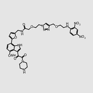 COc1ccc(-c2ccc(CNC(=O)COCCn3cc(COCCNc4ccc([N+](=O)[O-])cc4[N+](=O)[O-])nn3)o2)c2[nH]cc(C(=O)C(=O)N3CCNCC3)c12